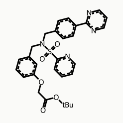 CC(C)(C)OC(=O)COc1cccc(CN(Cc2ccc(-c3ncccn3)cc2)S(=O)(=O)c2ccccn2)c1